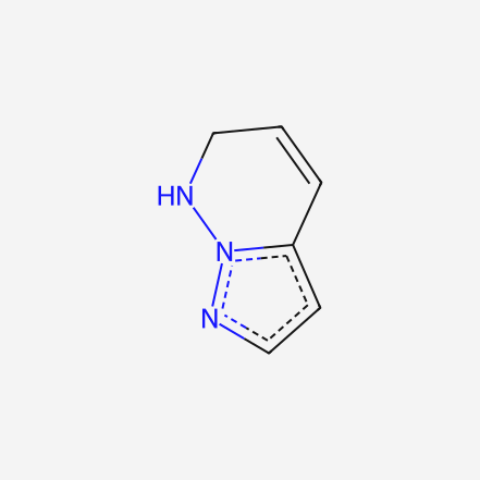 C1=Cc2ccnn2NC1